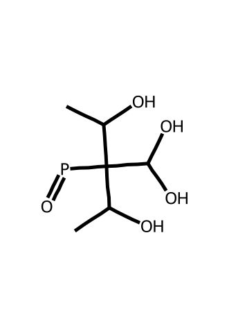 CC(O)C(P=O)(C(C)O)C(O)O